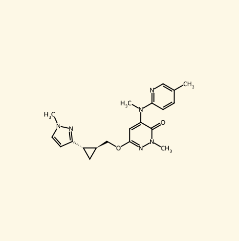 Cc1ccc(N(C)c2cc(OC[C@H]3C[C@@H]3c3ccn(C)n3)nn(C)c2=O)nc1